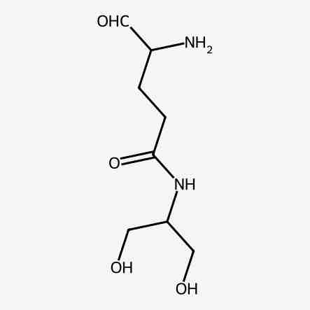 NC(C=O)CCC(=O)NC(CO)CO